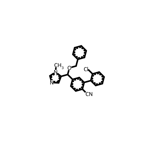 Cn1cncc1C(OCc1ccccc1)c1ccc(C#N)c(-c2ccccc2Cl)c1